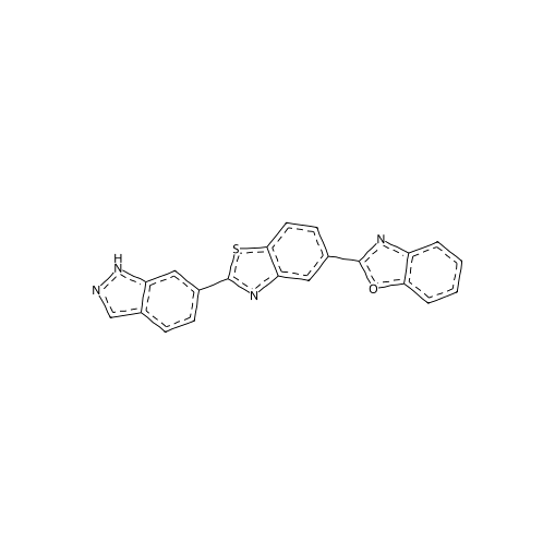 c1ccc2oc(-c3ccc4sc(-c5ccc6cn[nH]c6c5)nc4c3)nc2c1